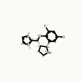 Fc1cc(Cl)cc(F)c1OC(c1ncco1)[C@H]1CCNC1